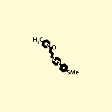 CSc1ccc(N2CCN(CCCC(=O)N3CCC(C)CC3)CC2)cc1